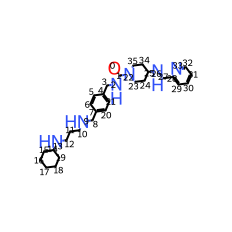 O=C(NCc1ccc(CNCCCNC2CCCCC2)cc1)N1CCC(NCc2ccccn2)CC1